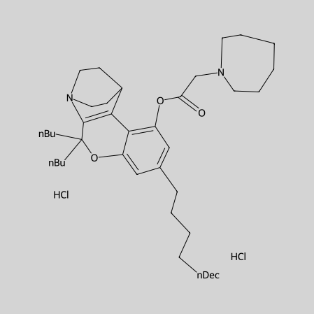 CCCCCCCCCCCCCCc1cc(OC(=O)CN2CCCCCC2)c2c(c1)OC(CCCC)(CCCC)C1=C2C2CCN1CC2.Cl.Cl